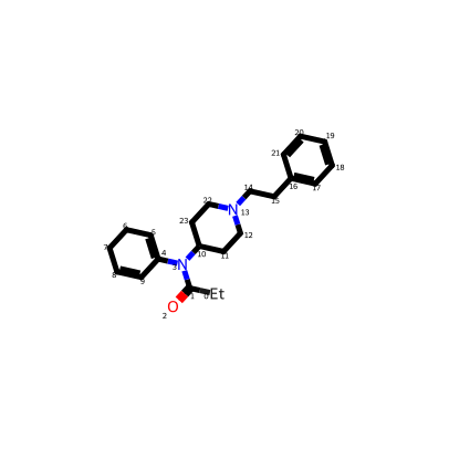 CCC(=O)N(C1=CCCC=C1)C1CCN(CCc2ccccc2)CC1